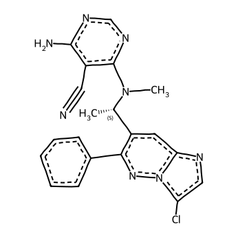 C[C@@H](c1cc2ncc(Cl)n2nc1-c1ccccc1)N(C)c1ncnc(N)c1C#N